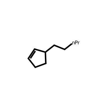 CCCCCC1C=CCC1